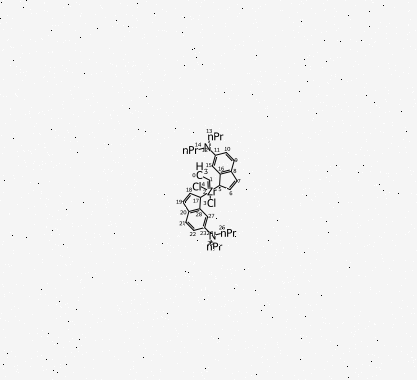 C[CH]=[Zr]([Cl])([Cl])([CH]1C=Cc2ccc(N(CCC)CCC)cc21)[CH]1C=Cc2ccc(N(CCC)CCC)cc21